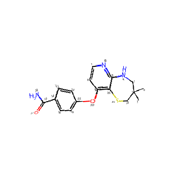 CC1(C)CNc2nccc(Oc3ccc(C(N)=O)cc3)c2SC1